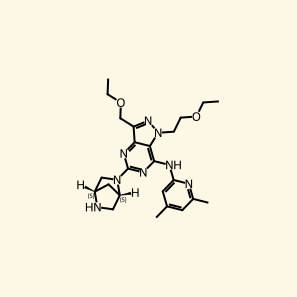 CCOCCn1nc(COCC)c2nc(N3C[C@@H]4C[C@H]3CN4)nc(Nc3cc(C)cc(C)n3)c21